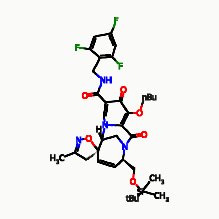 CCCCOc1c2n(cc(C(=O)NCc3c(F)cc(F)cc3F)c1=O)[C@@H]1CN(C2=O)[C@@H](CO[Si](C)(C)C(C)(C)C)C=C[C@]12CC(C)=NO2